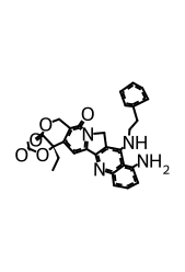 CC[C@@]1(OC(C)=O)C(=O)OCc2c1cc1n(c2=O)Cc2c-1nc1cccc(N)c1c2NCCc1ccccc1